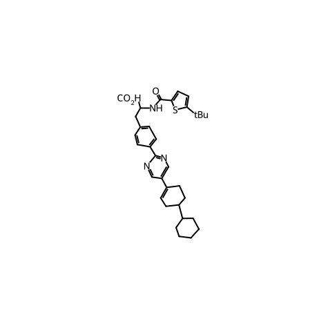 CC(C)(C)c1ccc(C(=O)NC(Cc2ccc(-c3ncc(C4=CCC(C5CCCCC5)CC4)cn3)cc2)C(=O)O)s1